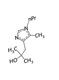 CCCn1cnc(CC(C)(C)O)c1C